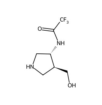 O=C(N[C@H]1CNC[C@@H]1CO)C(F)(F)F